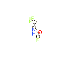 O=C(CCC1CC(c2cccc(C(F)(F)F)c2)=CCN1)c1ccc(F)cc1